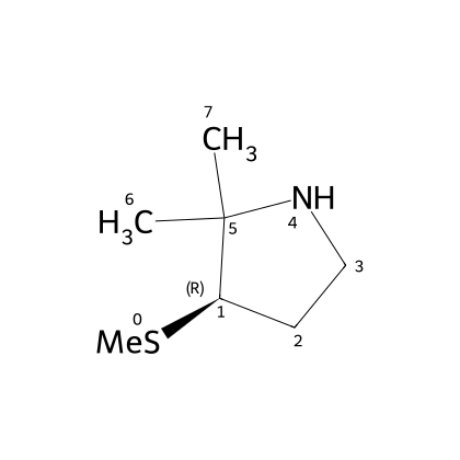 CS[C@@H]1CCNC1(C)C